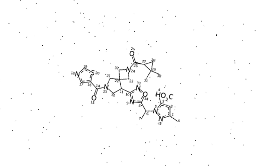 Cc1cc(C(=O)O)n(C(C)c2nc(C3CN(C(=O)c4cncs4)CC34CN(C(=O)[C@H]3CC3(C)C)C4)no2)n1